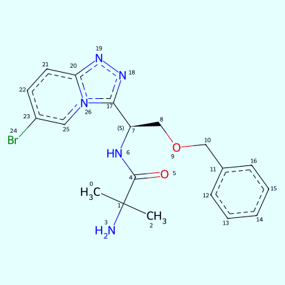 CC(C)(N)C(=O)N[C@H](COCc1ccccc1)c1nnc2ccc(Br)cn12